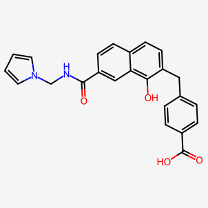 O=C(O)c1ccc(Cc2ccc3ccc(C(=O)NCn4cccc4)cc3c2O)cc1